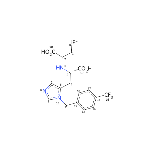 CC(C)CC(N[C@@H](Cc1cncn1Cc1ccc(C(F)(F)F)cc1)C(=O)O)C(=O)O